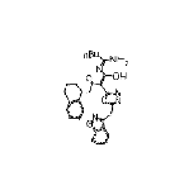 CCCC/C(N)=N/C(O)=C(\C(=O)C[C@H]1CCCc2ccccc21)c1nnc(Cc2noc3ccccc23)o1